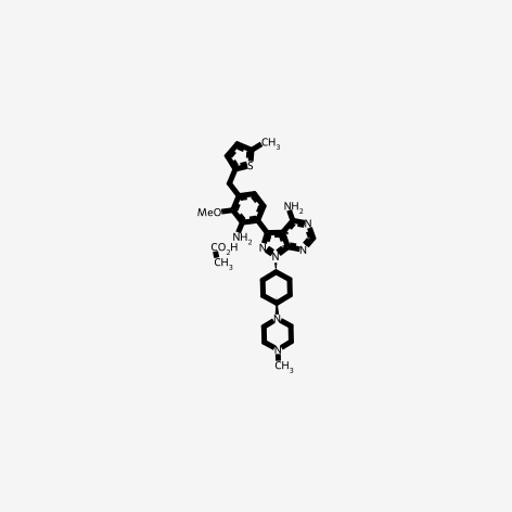 CC(=O)O.COc1c(Cc2ccc(C)s2)ccc(-c2nn([C@H]3CC[C@H](N4CCN(C)CC4)CC3)c3ncnc(N)c23)c1N